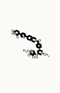 CN1C[C@H](Nc2cnn(C)c(=O)c2Cl)C[C@H](c2ccc(C(=O)N3CCC4(CCC(c5ccc(C6CCC(=O)NC6=O)cn5)CC4)CC3)cc2)C1